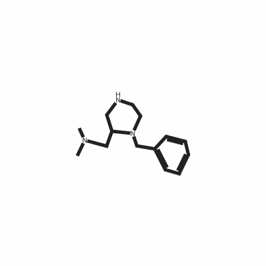 CN(C)CC1CNCCN1Cc1ccccc1